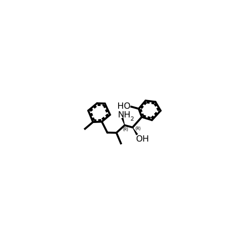 Cc1ccccc1CC(C)[C@@H](N)[C@H](O)c1ccccc1O